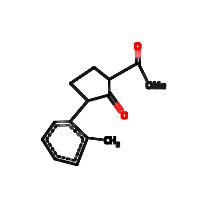 COC(=O)C1CCC(c2ccccc2C)C1=O